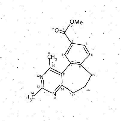 COC(=O)c1ccc2c(c1)-c1c(C)nc(C)nc1CCC2